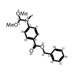 COC(OC)N(C)c1ccc(C(=O)OCc2ccccc2)cc1